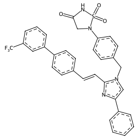 O=C1CN(c2ccc(Cn3cc(-c4ccccc4)nc3C=Cc3ccc(-c4cccc(C(F)(F)F)c4)cc3)cc2)S(=O)(=O)N1